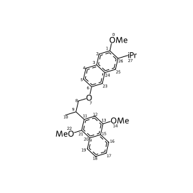 COc1cc2ccc(OCC(C)c3cc(OC)c4ccccc4c3OC)cc2cc1C(C)C